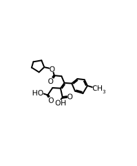 Cc1ccc(C(CC(=O)OC2CCCC2)=C(CC(=O)O)C(=O)O)cc1